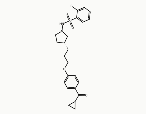 O=C(c1ccc(OCCC[C@@H]2CCN(NS(=O)(=O)c3ccccc3F)C2)cc1)C1CC1